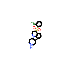 O=S(=O)(c1ccccc1Cl)C1CCn2c3c(c4cccc1c42)CCNCC3